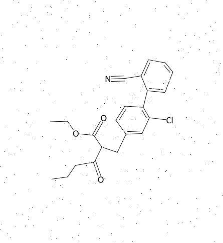 CCCC(=O)C(Cc1ccc(-c2ccccc2C#N)c(Cl)c1)C(=O)OCC